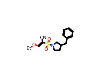 CCO/C=C(\C#N)S(=O)(=O)N1CCC(Cc2ccccc2)C1